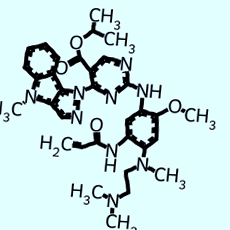 C=CC(=O)Nc1cc(Nc2ncc(C(=O)OC(C)C)c(-n3ncc4c3c3ccccc3n4C)n2)c(OC)cc1N(C)CCN(C)C